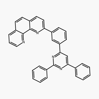 c1ccc(-c2cc(-c3cccc(-c4ccc5ccc6cccnc6c5n4)c3)nc(-c3ccccc3)n2)cc1